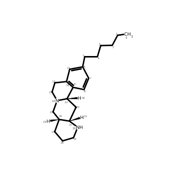 CCCCCCc1ccc2c(c1)CCN1C[C@H]3CCCN[C@H]3C[C@@H]21